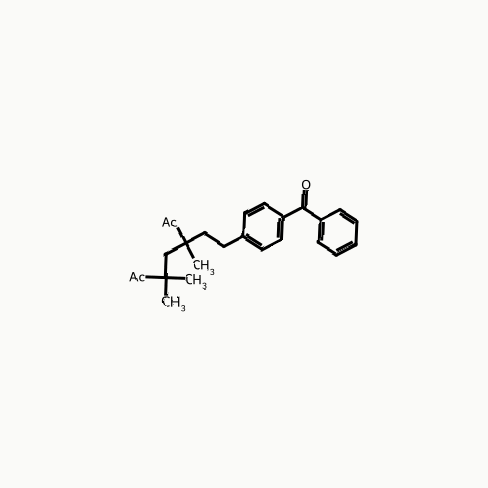 CC(=O)C(C)(C)CC(C)(CCc1ccc(C(=O)c2ccccc2)cc1)C(C)=O